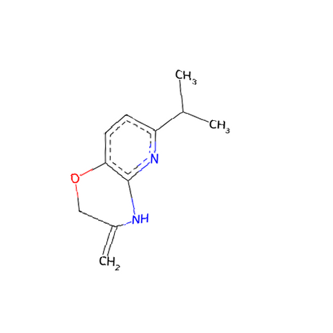 C=C1COc2ccc(C(C)C)nc2N1